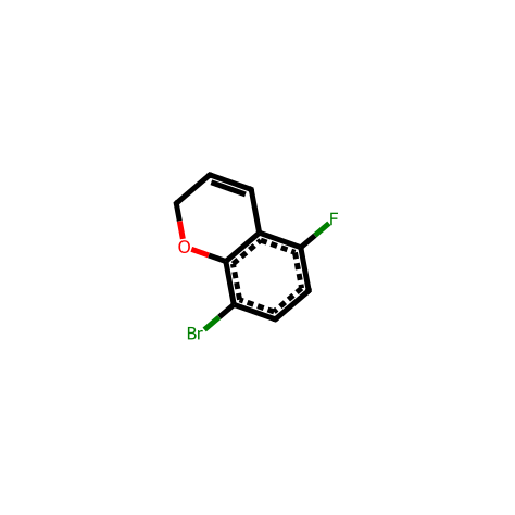 Fc1ccc(Br)c2c1C=CCO2